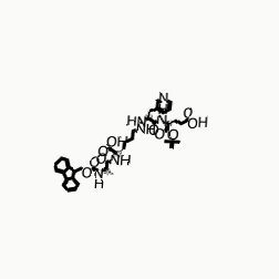 C[C@H](NC(=O)OCC1c2ccccc2-c2ccccc21)C(=O)N[C@@H](CCCCNN[C@@H](Cc1cccnc1)C(=O)N[C@@H](CCC(=O)O)C(=O)OC(C)(C)C)C(=O)O